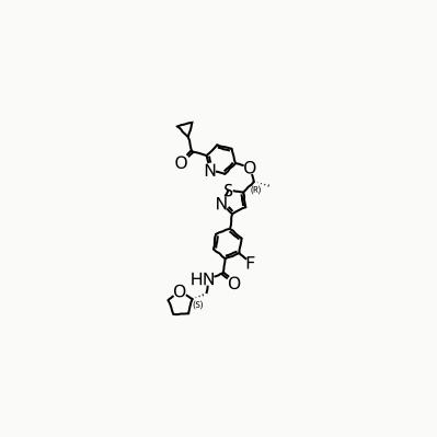 C[C@@H](Oc1ccc(C(=O)C2CC2)nc1)c1cc(-c2ccc(C(=O)NC[C@@H]3CCCO3)c(F)c2)ns1